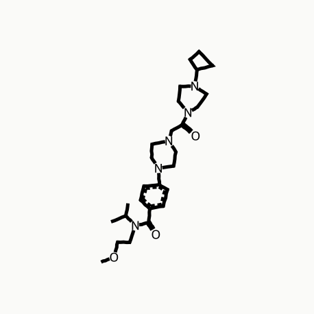 COCCN(C(=O)c1ccc(N2CCN(CC(=O)N3CCN(C4CCC4)CC3)CC2)cc1)C(C)C